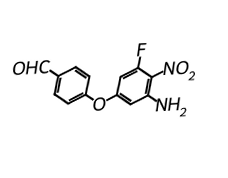 Nc1cc(Oc2ccc(C=O)cc2)cc(F)c1[N+](=O)[O-]